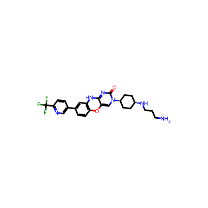 NCCCN[C@H]1CC[C@@H](n2cc3c(nc2=O)Nc2cc(-c4ccc(C(F)(F)F)nc4)ccc2O3)CC1